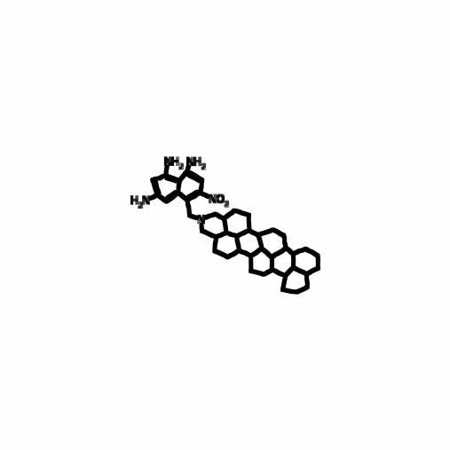 Nc1cc(N)c2c(N)cc([N+](=O)[O-])c(CN3CC4CCC5C6CCC7C8CCCC9CCCC(C%10CCC(C%11CCC(C3)C4C5%11)C6C7%10)C98)c2c1